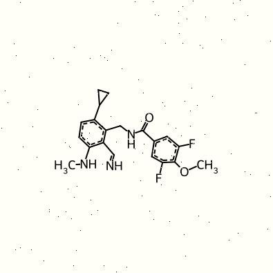 CNc1ccc(C2CC2)c(CNC(=O)c2cc(F)c(OC)c(F)c2)c1C=N